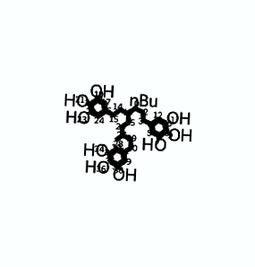 CCCCC(CCc1cc(O)c(O)c(O)c1)C(CCc1cc(O)c(O)c(O)c1)CCC(C)CCc1cc(O)c(O)c(O)c1